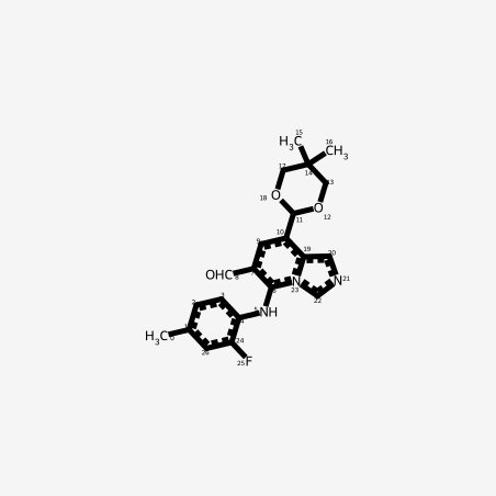 Cc1ccc(Nc2c(C=O)cc(C3OCC(C)(C)CO3)c3cncn23)c(F)c1